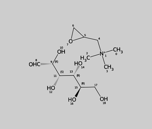 C[N+](C)(C)CC1CO1.O=C[C@H](O)[C@@H](O)[C@H](O)[C@H](O)CO